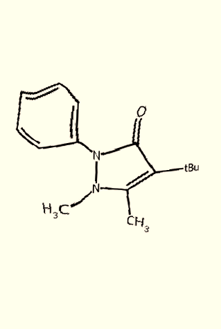 Cc1c(C(C)(C)C)c(=O)n(-c2ccccc2)n1C